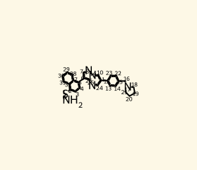 NSc1ccc(-c2cnn3cc(-c4ccc(CN5CCCC5)cc4)cnc23)c2ccccc12